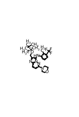 Cc1c(Nc2c(CO[Si](C)(C)C(C)(C)C)nc3ccc(N4CCOCC4)nn23)cccc1C(F)(F)F